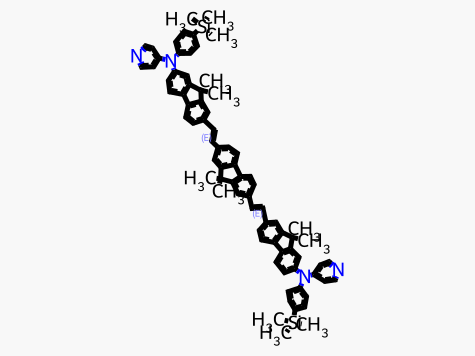 CC1(C)c2cc(/C=C/c3ccc4c(c3)C(C)(C)c3cc(N(c5ccncc5)c5ccc([Si](C)(C)C)cc5)ccc3-4)ccc2-c2ccc(/C=C/c3ccc4c(c3)C(C)(C)c3cc(N(c5ccncc5)c5ccc([Si](C)(C)C)cc5)ccc3-4)cc21